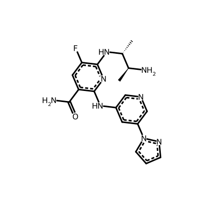 C[C@H](N)[C@@H](C)Nc1nc(Nc2cncc(-n3cccn3)c2)c(C(N)=O)cc1F